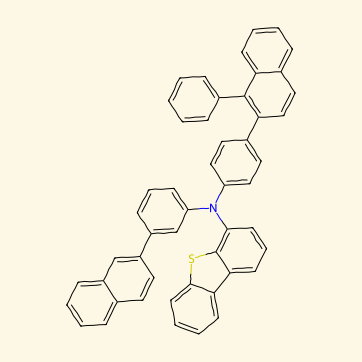 c1ccc(-c2c(-c3ccc(N(c4cccc(-c5ccc6ccccc6c5)c4)c4cccc5c4sc4ccccc45)cc3)ccc3ccccc23)cc1